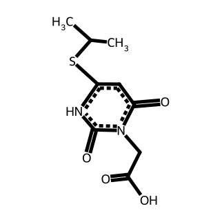 CC(C)Sc1cc(=O)n(CC(=O)O)c(=O)[nH]1